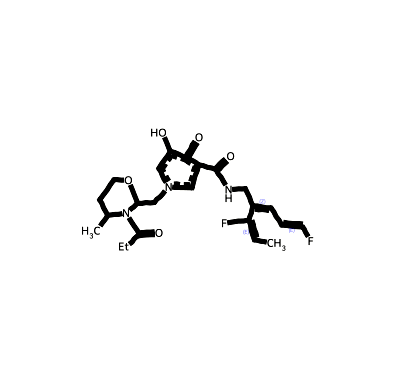 C\C=C(F)/C(=C\C=C\F)CNC(=O)c1cn(CC2OCCC(C)N2C(=O)CC)cc(O)c1=O